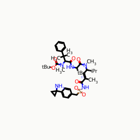 C/C(=C\C(C(C)C)N(C)C(=O)C(NC(=O)C(N(C)C(=O)OC(C)(C)C)C(C)(C)c1ccccc1)C(C)(C)C)C(=O)NS(=O)(=O)Cc1ccc(C2(N)CC2)cc1